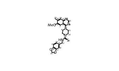 COc1cc2c(N3CCN(C(=S)NCc4ccc5c(c4)OCO5)CC3)ncnc2cc1C